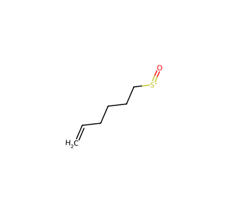 C=CCCCC[S+]=O